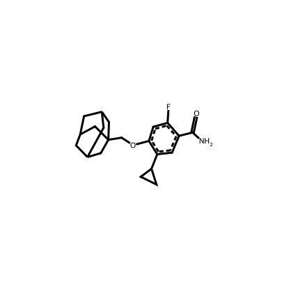 NC(=O)c1cc(C2CC2)c(OCC23CC4CC(CC(C4)C2)C3)cc1F